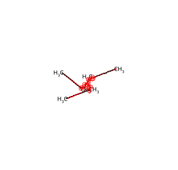 CC#CC#CC#CC#CC#CC#CC#CC#CC#CC#CC(=O)OC(C)C(=O)OCC(=O)OCC(COC(=O)COC(=O)C(C)OC(=O)C#CC#CC#CC#CC#CC#CC#CC#CC#CC#CC)OC(=O)COC(=O)C(C)OC(=O)C#CC#CC#CC#CC#CC#CC#CC#CC#CC#CC